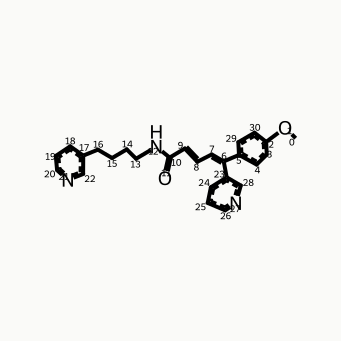 COc1ccc(C(=CC=CC(=O)NCCCCc2cccnc2)c2cccnc2)cc1